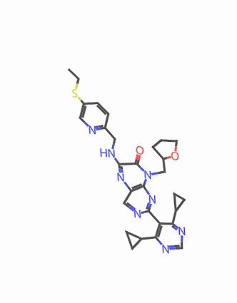 CCSc1ccc(CNc2nc3cnc(-c4c(C5CC5)ncnc4C4CC4)nc3n(CC3CCCO3)c2=O)nc1